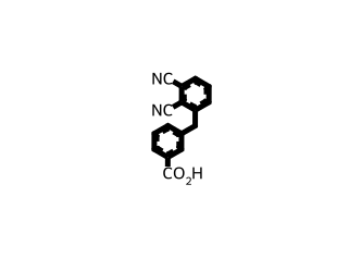 N#Cc1cccc(Cc2cccc(C(=O)O)c2)c1C#N